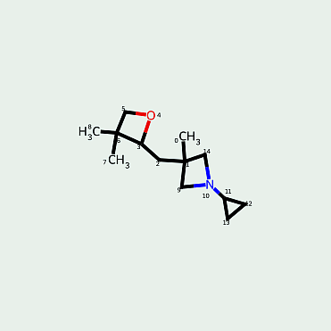 CC1(CC2OCC2(C)C)CN(C2CC2)C1